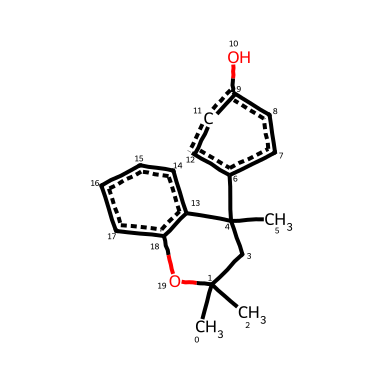 CC1(C)CC(C)(c2ccc(O)cc2)c2ccccc2O1